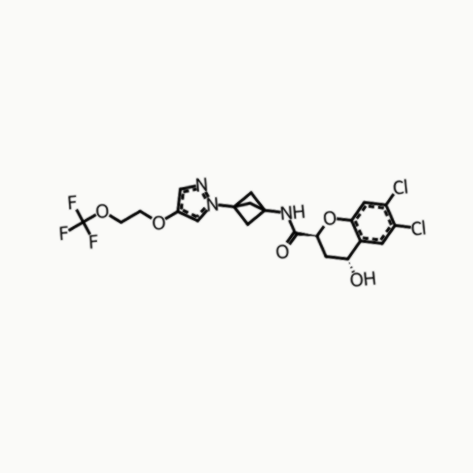 O=C(NC12CC(n3cc(OCCOC(F)(F)F)cn3)(C1)C2)[C@@H]1C[C@@H](O)c2cc(Cl)c(Cl)cc2O1